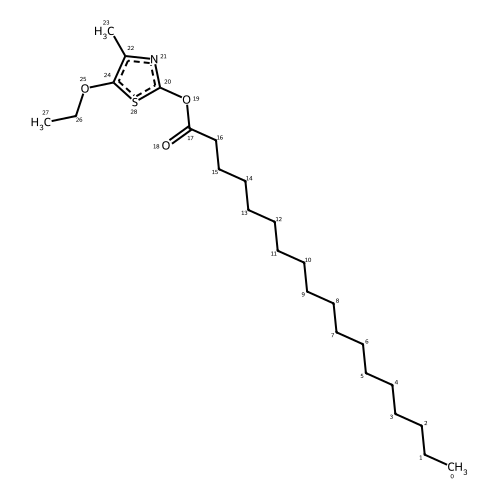 CCCCCCCCCCCCCCCCCC(=O)Oc1nc(C)c(OCC)s1